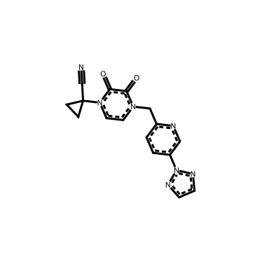 N#CC1(n2ccn(Cc3ccc(-n4nccn4)cn3)c(=O)c2=O)CC1